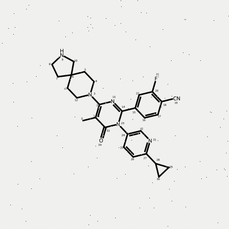 Cc1c(N2CCC3(CCNC3)CC2)nc(-c2ccc(C#N)c(F)c2)n(-c2ccc(C3CC3)nc2)c1=O